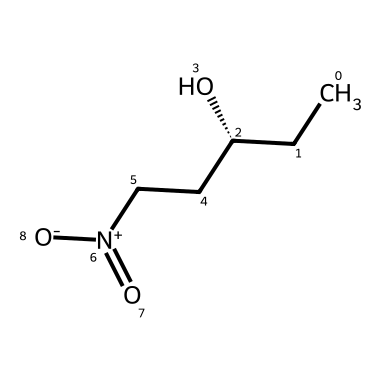 CC[C@@H](O)CC[N+](=O)[O-]